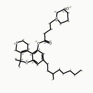 CCCCCC(C)CCc1cc(OC(=O)CCCN2CCCCC2)c2c(c1)OC(C)(C)C1=C2CCSC1.Cl